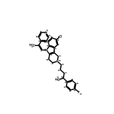 C/C(=C/n1c2c(c3cc(Cl)ccc31)CN(CCCC(O)c1ccc(F)cc1)CC2)c1ccncc1